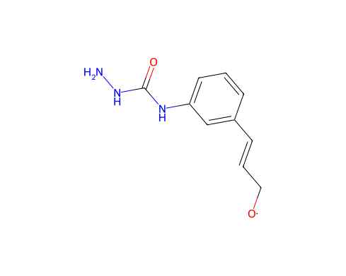 NNC(=O)Nc1cccc(C=CC[O])c1